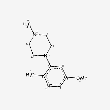 COc1cnc(C)c(N2CCN(C)CC2)c1